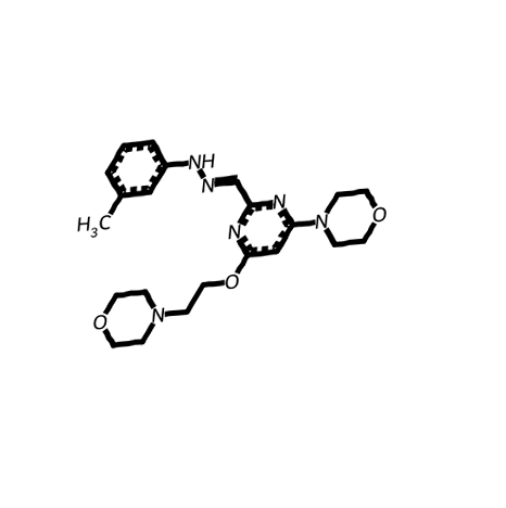 Cc1cccc(N/N=C/c2nc(OCCN3CCOCC3)cc(N3CCOCC3)n2)c1